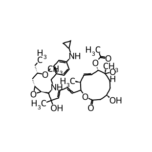 CC[C@@H](C[C@H]1O[C@@H]1C(NCc1ccc(NC2CC2)cc1)C(C)(O)/C=C/C=C/C1OC(=O)C[C@H](O)CC[C@@](C)(O)[C@@H](OC(C)=O)/C=C/[C@@H]1C)OC